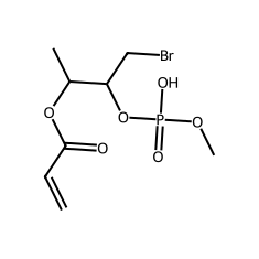 C=CC(=O)OC(C)C(CBr)OP(=O)(O)OC